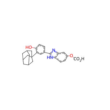 O=C(O)Oc1ccc2[nH]c(-c3ccc(O)c(C45CC6CC(CC(C6)C4)C5)c3)nc2c1